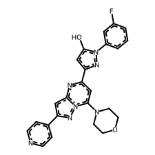 Oc1cc(-c2cc(N3CCOCC3)n3nc(-c4ccncc4)cc3n2)nn1-c1cccc(F)c1